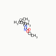 CC1=C(C=C/C(C)=C/c2cnc(C(=O)Oc3ccc(C)cc3)cn2)C(C)(C)CCC1